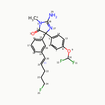 CN1C(=O)C(c2ccc(OC(F)F)cc2)(c2cccc(/C=C/CCCF)c2)N=C1N